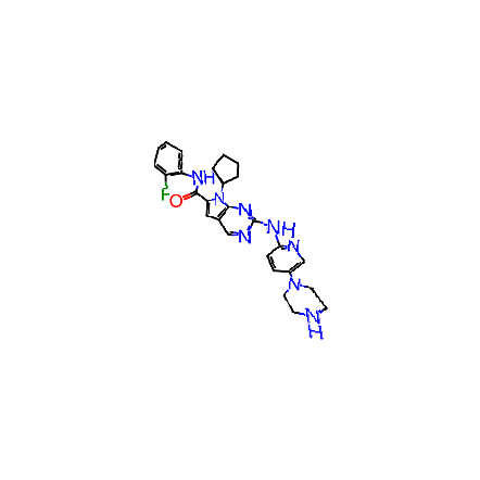 O=C(Nc1ccccc1F)c1cc2cnc(Nc3ccc(N4CCNCC4)cn3)nc2n1C1CCCC1